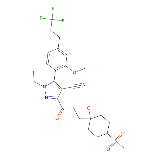 CCn1nc(C(=O)NCC2(O)CCC(S(C)(=O)=O)CC2)c(C#N)c1-c1ccc(CCC(F)(F)F)cc1OC